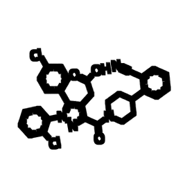 N#Cc1ccccc1C1CCN(C(=O)c2nn(-c3ccccc3Cl)c(-c3ccc(Cl)cc3)c2CC(=O)O)CC1